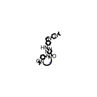 CC(=O)N1CCC/C=C\Cn2c(=O)c3cnc(Nc4ccc5c(ccn5C5CCN(C(C)C)CC5)c4)nc3n2-c2cccc1c2